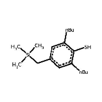 CCCCc1cc(C[Si](C)(C)C)cc(CCCC)c1S